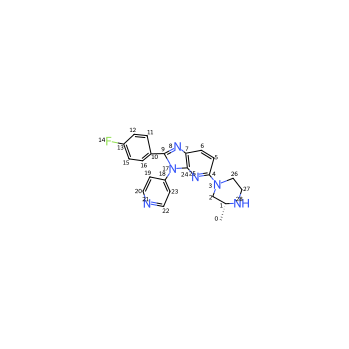 C[C@@H]1CN(c2ccc3nc(-c4ccc(F)cc4)n(-c4ccncc4)c3n2)CCN1